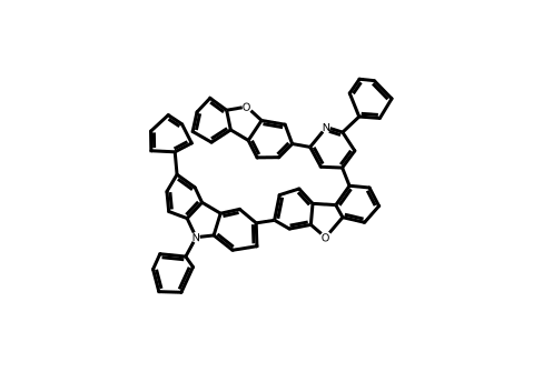 c1ccc(-c2ccc3c(c2)c2cc(-c4ccc5c(c4)oc4cccc(-c6cc(-c7ccccc7)nc(-c7ccc8c(c7)oc7ccccc78)c6)c45)ccc2n3-c2ccccc2)cc1